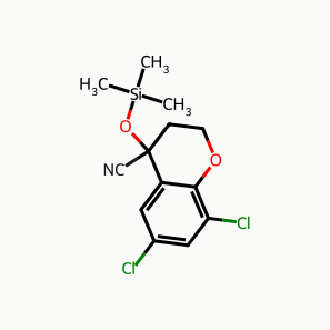 C[Si](C)(C)OC1(C#N)CCOc2c(Cl)cc(Cl)cc21